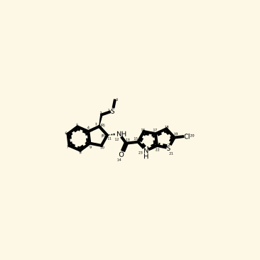 CSC[C@@H]1c2ccccc2C[C@H]1NC(=O)c1cc2cc(Cl)sc2[nH]1